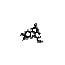 CC(C)(C)CC(=O)Nc1c(C2=CCC(F)(F)CC2)cc(Cl)nc1F